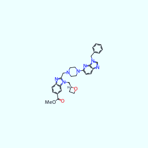 COC(=O)c1ccc2nc(CN3CCN(c4ccc5ncn(Cc6ccccc6)c5n4)CC3)n(C[C@@H]3CCO3)c2c1